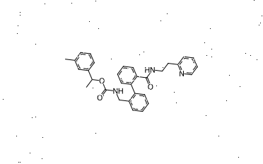 Cc1cccc(C(C)OC(=O)NCc2ccccc2-c2ccccc2C(=O)NCCc2ccccn2)c1